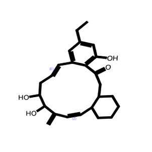 C=C1/C=C\C2CCCCC2CC(=O)c2c(O)cc(CC)cc2/C=C/CC(O)C1O